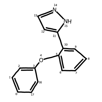 c1ccc(Oc2ccccc2-c2ccn[nH]2)cc1